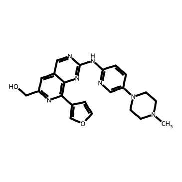 CN1CCN(c2ccc(Nc3ncc4cc(CO)nc(-c5ccoc5)c4n3)nc2)CC1